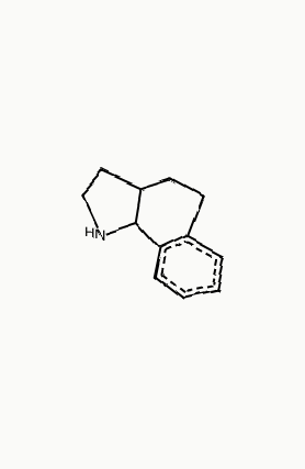 c1ccc2c(c1)CCC1CCNC21